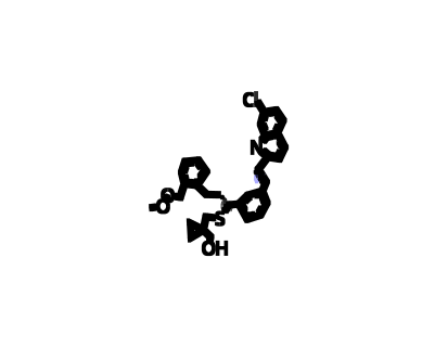 COOCc1ccccc1CC[C@@H](SCC1(CO)CC1)c1cccc(/C=C/c2ccc3ccc(Cl)cc3n2)c1